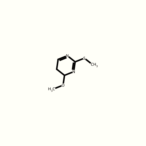 COC1CC=NC(SC)=N1